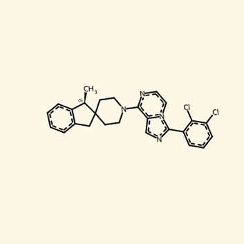 C[C@@H]1c2ccccc2CC12CCN(c1nccn3c(-c4cccc(Cl)c4Cl)ncc13)CC2